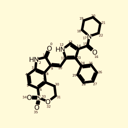 O=C1Nc2ccc3c(c2/C1=C/c1[nH]cc(C(=O)N2CCCCC2)c1-c1ccccc1)CCOS3(=O)=O